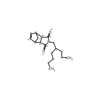 CCCCC(CCC)CN1C(=O)C2C3C=CC(C3)C2C1=O